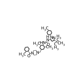 Cc1ccc(-n2nc(C(C)(C)C)cc2NC(=O)Nc2c(C)cc(CN3CCN(C(=O)c4ccccc4C)CC3)cc2C)cc1